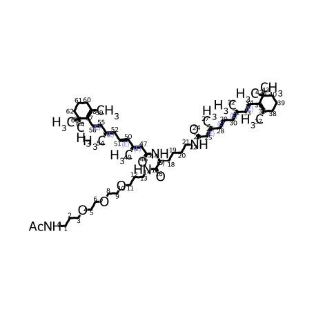 CC(=O)NCCCOCCOCCOCCCNC(=O)[C@H](CCCCNC(=O)/C=C(C)/C=C/C=C(C)/C=C/C1=C(C)CCCC1(C)C)NC(=O)/C=C(C)/C=C/C=C(C)/C=C/C1=C(C)CCCC1(C)C